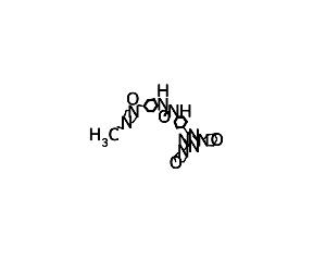 CCCN1CCN(C(=O)c2ccc(NC(=O)Nc3ccc(-c4nc(N5CCOCC5)nc(N5CCOCC5)n4)cc3)cc2)CC1